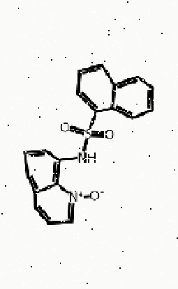 O=S(=O)(Nc1cccc2ccc[n+]([O-])c12)c1cccc2ccccc12